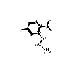 Cc1ccc(C(C)C)c(OON)c1